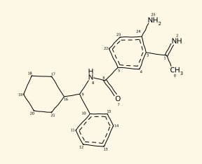 CC(=N)c1cc(C(=O)NC(c2ccccc2)C2CCCCC2)ccc1N